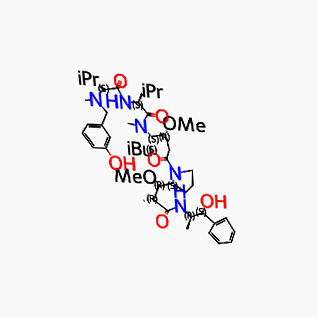 CC[C@H](C)[C@@H]([C@@H](CC(=O)N1CCC[C@H]1[C@H](OC)[C@@H](C)C(=O)N[C@H](C)[C@@H](O)c1ccccc1)OC)N(C)C(=O)[C@@H](NC(=O)[C@H](C(C)C)N(C)Cc1cccc(O)c1)C(C)C